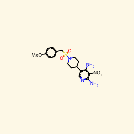 COc1ccc(CS(=O)(=O)N2CCC(c3cnc(N)c([N+](=O)[O-])c3N)CC2)cc1